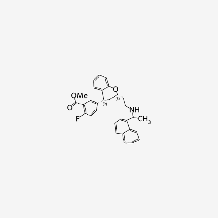 COC(=O)c1cc([C@H]2C[C@@H](CCNC(C)c3cccc4ccccc34)Oc3ccccc32)ccc1F